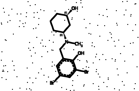 CN(Cc1cc(Br)cc(Br)c1O)[C@@H]1CCC[C@H](O)C1